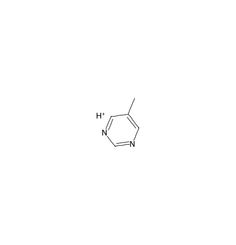 Cc1cncnc1.[H+]